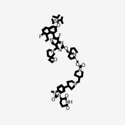 CCc1c(F)ccc2cc(O[Si](C(C)C)(C(C)C)C(C)C)cc(-c3ncc4c(N5CCCC6(CCO6)C5)nc(OC[C@@]56CCCN5[C@H](COC(=O)N5CCC(CN7CCC(c8ccc9c(c8)n(C8CCC(=O)NC8=O)c(=O)n9C)CC7)CC5)CC6)nc4c3F)c12